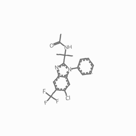 CC(=O)NC(C)(C)c1nc2cc(C(F)(F)F)c(Cl)cc2n1-c1c[c]ccc1